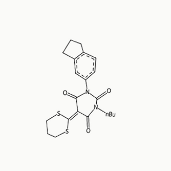 CCCCN1C(=O)C(=C2SCCCS2)C(=O)N(c2ccc3c(c2)CCC3)C1=O